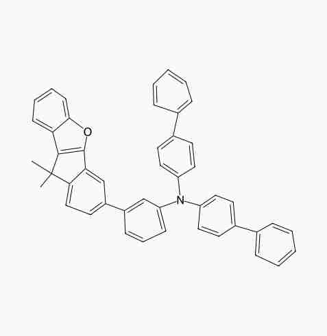 CC1(C)c2ccc(-c3cccc(N(c4ccc(-c5ccccc5)cc4)c4ccc(-c5ccccc5)cc4)c3)cc2-c2oc3ccccc3c21